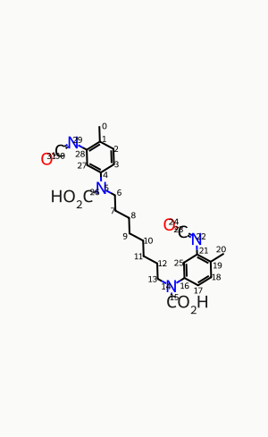 Cc1ccc(N(CCCCCCCCN(C(=O)O)c2ccc(C)c(N=C=O)c2)C(=O)O)cc1N=C=O